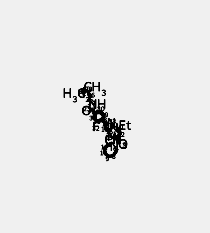 CCc1cc(C(=O)N2CCCCCC2C)nc2cc(-c3ccc(C(=O)NCCN(C)C)cc3F)nn12